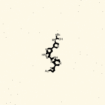 CCCCC(O)Nc1cncc(-c2cnc3[nH]nc(-c4nc5c(-c6ccc(C(C)=O)s6)cncc5[nH]4)c3c2)c1